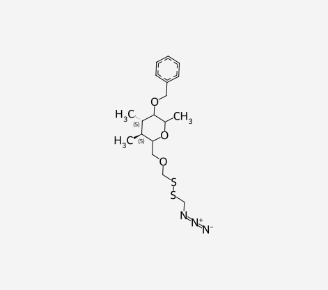 CC1OC(COCSSCN=[N+]=[N-])[C@@H](C)[C@H](C)C1OCc1ccccc1